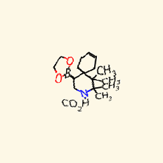 CC1(C)N(C(=O)O)CC(B2OCCO2)C2(CC=CCC2)C1(C)C